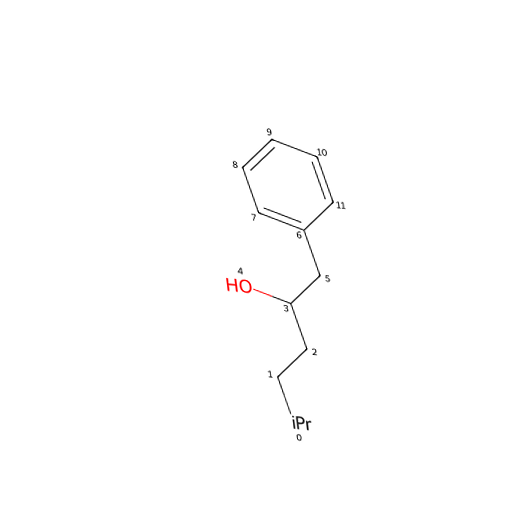 CC(C)CCC(O)Cc1ccccc1